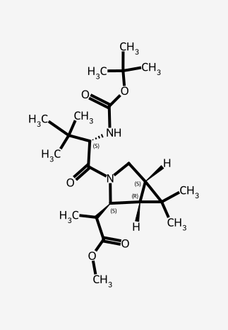 COC(=O)C(C)[C@@H]1[C@@H]2[C@H](CN1C(=O)[C@@H](NC(=O)OC(C)(C)C)C(C)(C)C)C2(C)C